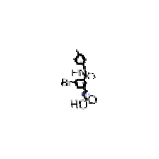 Cc1ccc(CNC(=O)c2cc(Br)cc(/C=C/C(=O)O)c2)cc1